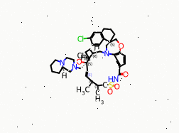 CO[C@]1(CN2CCN3CCCC[C@@H]3C2)/C=C/[C@H](C)[C@H](C)CS(=O)(=O)NC(=O)c2ccc3c(c2)N(C[C@@H]2CC[C@H]21)C[C@@]1(CCCc2cc(Cl)ccc21)CO3